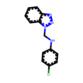 Clc1ccc(NCn2nnc3ccccc32)cc1